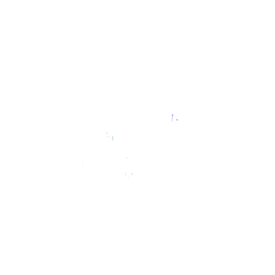 CC(Br)C(=O)c1cc2c3c(c1)CCCN3CCC2